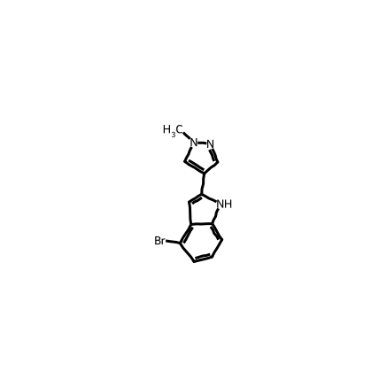 Cn1cc(-c2cc3c(Br)cccc3[nH]2)cn1